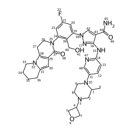 CC1CN(C2COC2)CCN1c1ccc(Nc2nn(-c3cc(F)cc(N4CCc5c(cc6n5CCCC6)C4=O)c3CO)cc2C(N)=O)nc1